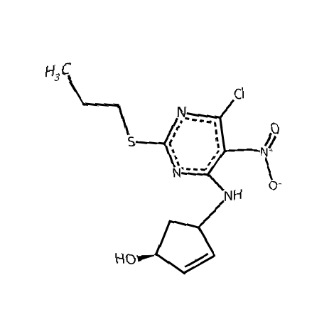 CCCSc1nc(Cl)c([N+](=O)[O-])c(NC2C=C[C@@H](O)C2)n1